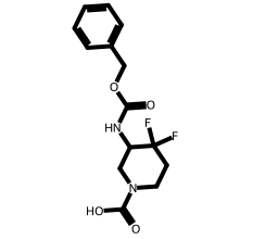 O=C(NC1CN(C(=O)O)CCC1(F)F)OCc1ccccc1